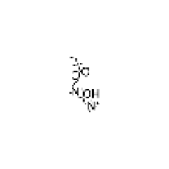 CCC(C)(C)C(=O)OCC[N+](C)(C)CC(O)C[N+](C)(C)C